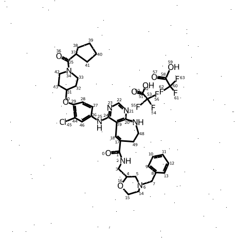 O=C(NCC1CN(Cc2ccccc2)CCO1)C1=Cc2c(ncnc2Nc2ccc(OC3CCN(C(=O)C4CCCC4)CC3)c(Cl)c2)NCC1.O=C(O)C(F)(F)F.O=C(O)C(F)(F)F